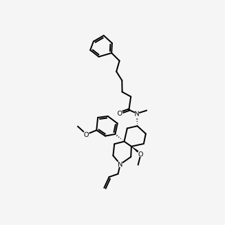 C=CCN1CC[C@@]2(c3cccc(OC)c3)C[C@H](N(C)C(=O)CCCCCc3ccccc3)CC[C@]2(OC)C1